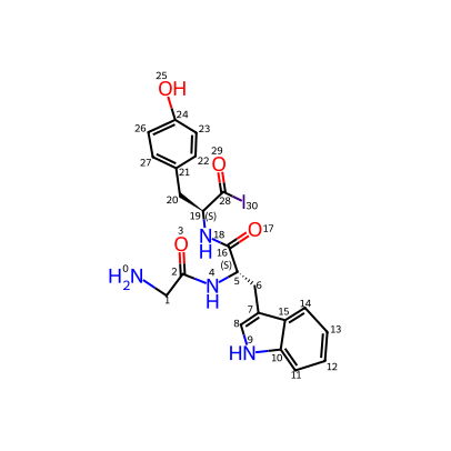 NCC(=O)N[C@@H](Cc1c[nH]c2ccccc12)C(=O)N[C@@H](Cc1ccc(O)cc1)C(=O)I